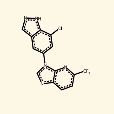 FC(F)(F)c1ccc2ncn(-c3cc(Cl)c4[nH]ncc4c3)c2n1